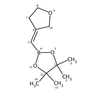 CC1(C)OB(C=C2CCOC2)OC1(C)C